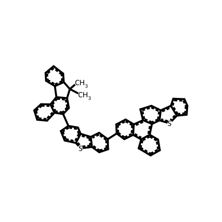 CC1(C)c2ccccc2-c2c1cc(-c1ccc3sc4ccc(-c5ccc6c(c5)c5ccccc5c5c6ccc6c7ccccc7sc65)cc4c3c1)c1ccccc21